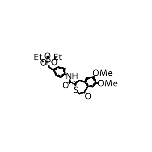 CCOP(=O)(Cc1ccc(NC(=O)[C@H]2Cc3cc(OC)c(OC)cc3C(=O)CS2)cc1)OCC